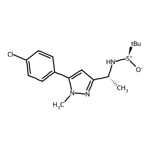 C[C@@H](N[S@+]([O-])C(C)(C)C)c1cc(-c2ccc(Cl)cc2)n(C)n1